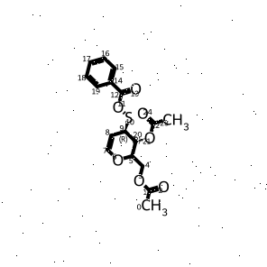 CC(=O)OCC1OC=C[C@@H](SOC(=O)c2ccccc2)[C@@H]1OC(C)=O